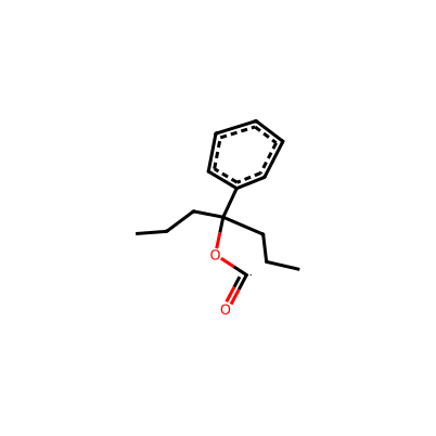 CCCC(CCC)(O[C]=O)c1ccccc1